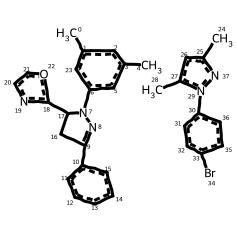 Cc1cc(C)cc(N2N=C(c3ccccc3)CC2c2ncco2)c1.Cc1cc(C)n(-c2ccc(Br)cc2)n1